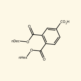 CCCCCCCCCCOC(=O)c1cc(C(=O)O)ccc1C(=O)OCCCCCC